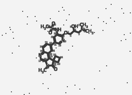 CN(C)CC(O)COc1ncc(-c2ccc3ncc4c(c3c2)C2(CCC2)C(=O)N4C)cc1NS(C)(=O)=O